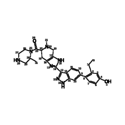 CCc1cc(O)ccc1-c1ccc2c(-c3nc4c([nH]3)CN(C)C(C(=O)N3CCNCC3C)C4)n[nH]c2c1